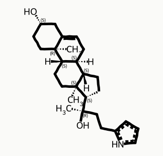 C[C@]12CC[C@H]3[C@@H](CC=C4C[C@@H](O)CC[C@@]43C)[C@@H]1CC[C@@H]2[C@](C)(O)CCc1ccc[nH]1